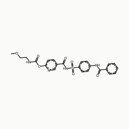 COCCNC(=O)Oc1ccc(C(=O)NS(=O)(=O)c2ccc(NC(=O)c3ccccc3)cc2)cn1